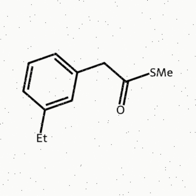 CCc1cccc(CC(=O)SC)c1